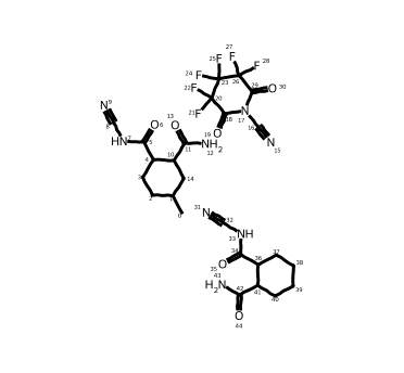 CC1CCC(C(=O)NC#N)C(C(N)=O)C1.N#CN1C(=O)C(F)(F)C(F)(F)C(F)(F)C1=O.N#CNC(=O)C1CCCCC1C(N)=O